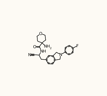 N#CC(Cc1ccc2c(c1)CN(c1ccc(F)cc1)C2)NC(=O)C1(N)CCOCC1